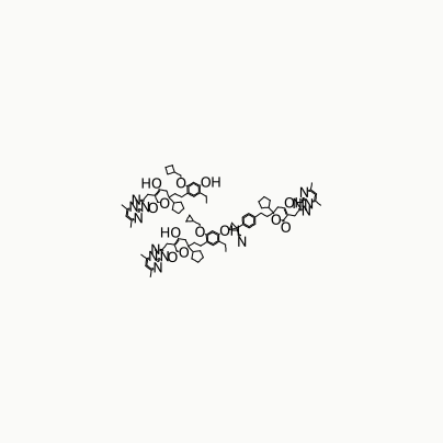 CCc1cc(CCC2(C3CCCC3)CC(O)=C(Cc3nc4nc(C)cc(C)n4n3)C(=O)O2)c(OCC2CC2)cc1O.CCc1cc(CCC2(C3CCCC3)CC(O)=C(Cc3nc4nc(C)cc(C)n4n3)C(=O)O2)c(OCC2CCC2)cc1O.Cc1cc(C)n2nc(CC3=C(O)CC(CCc4ccc(C5(C#N)CC5)cc4)(C4CCCC4)OC3=O)nc2n1